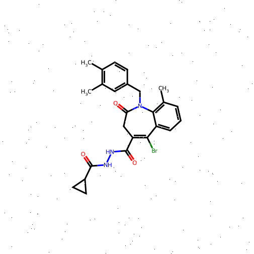 Cc1ccc(CN2C(=O)CC(C(=O)NNC(=O)C3CC3)=C(Br)c3cccc(C)c32)cc1C